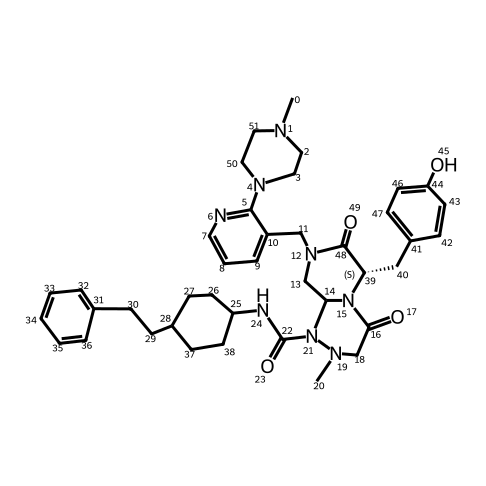 CN1CCN(c2ncccc2CN2CC3N(C(=O)CN(C)N3C(=O)NC3CCC(CCc4ccccc4)CC3)[C@@H](Cc3ccc(O)cc3)C2=O)CC1